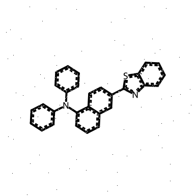 c1ccc(N(c2ccccc2)c2cccc3cc(-c4nc5ccccc5s4)ccc23)cc1